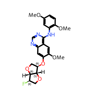 COc1ccc(OC)c(Nc2ncnc3cc(O[C@@H]4CO[C@@H]5[C@H]4OC[C@H]5F)c(OC)cc23)c1